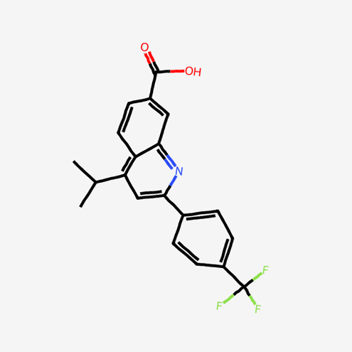 CC(C)c1cc(-c2ccc(C(F)(F)F)cc2)nc2cc(C(=O)O)ccc12